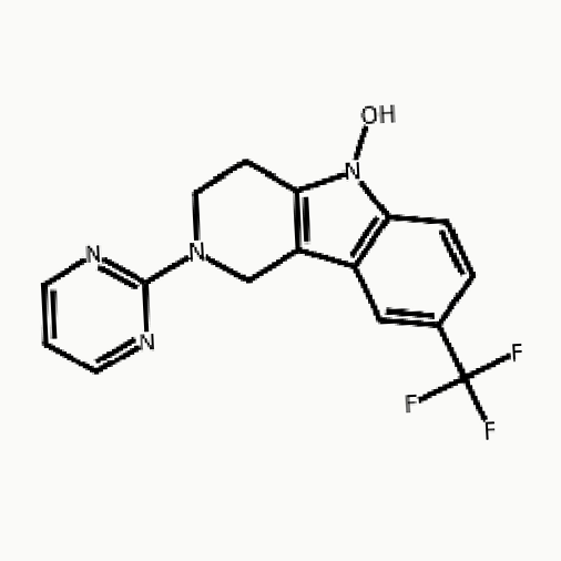 On1c2c(c3cc(C(F)(F)F)ccc31)CN(c1ncccn1)CC2